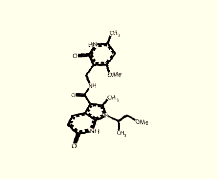 COCC(C)n1c(C)c(C(=O)NCc2c(OC)cc(C)[nH]c2=O)c2ccc(=O)[nH]c21